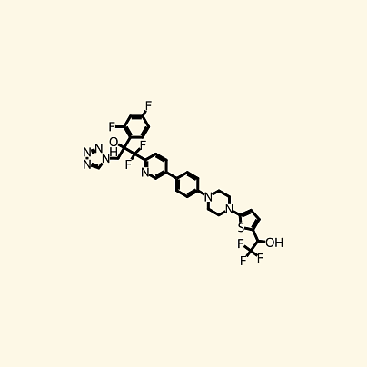 OC(c1ccc(N2CCN(c3ccc(-c4ccc(C(F)(F)C(O)(Cn5cnnn5)c5ccc(F)cc5F)nc4)cc3)CC2)s1)C(F)(F)F